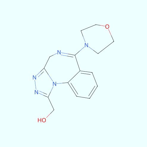 OCc1nnc2n1-c1ccccc1C(N1CCOCC1)=NC2